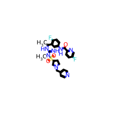 C[C@@H](NC(=N)N(C)S(=O)(=O)[C@H]1CCN(Cc2ccncc2)C1)c1cc(NC(=O)c2ccc(F)cn2)ccc1F